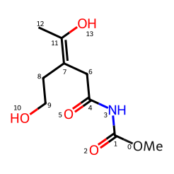 COC(=O)NC(=O)C/C(CCO)=C(/C)O